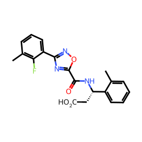 Cc1ccccc1[C@H](CC(=O)O)NC(=O)c1nc(-c2cccc(C)c2F)no1